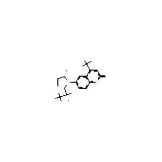 C[C@@H]1CC[C@H]([C@](C)(O)C(F)(F)F)N1c1ccc2[nH]c(=O)cc(C(F)(F)F)c2c1